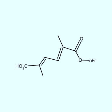 CCCOC(=O)C(C)=CC=C(C)C(=O)O